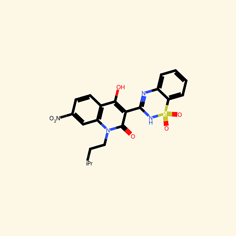 CC(C)CCn1c(=O)c(C2=Nc3ccccc3S(=O)(=O)N2)c(O)c2ccc([N+](=O)[O-])cc21